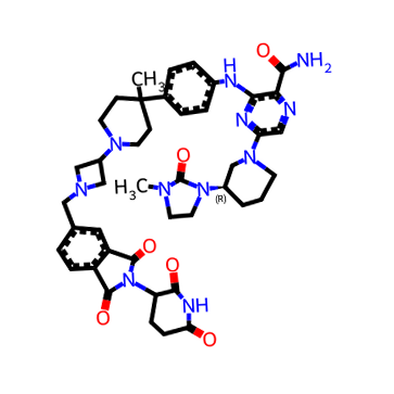 CN1CCN([C@@H]2CCCN(c3cnc(C(N)=O)c(Nc4ccc(C5(C)CCN(C6CN(Cc7ccc8c(c7)C(=O)N(C7CCC(=O)NC7=O)C8=O)C6)CC5)cc4)n3)C2)C1=O